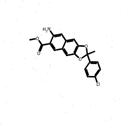 COC(=O)c1cc2cc3c(cc2cc1N)OC(C)(c1ccc(Cl)cc1)O3